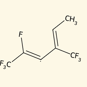 CC=C([C]=C(F)C(F)(F)F)C(F)(F)F